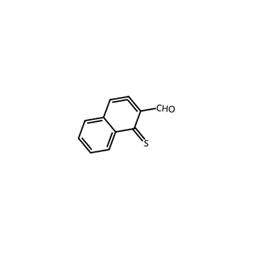 O=CC1=C=Cc2ccccc2C1=S